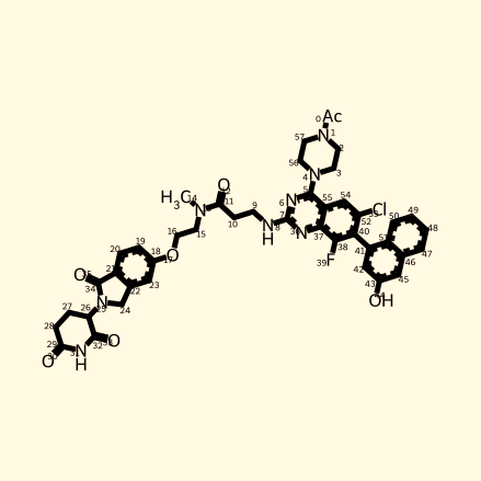 CC(=O)N1CCN(c2nc(NCCC(=O)N(C)CCOc3ccc4c(c3)CN(C3CCC(=O)NC3=O)C4=O)nc3c(F)c(-c4cc(O)cc5ccccc45)c(Cl)cc23)CC1